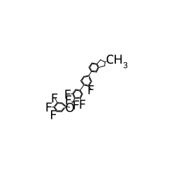 CC1Cc2ccc(-c3ccc(-c4cc(F)c(C(F)(F)Oc5cc(F)c(F)c(F)c5)c(F)c4)c(F)c3)cc2C1